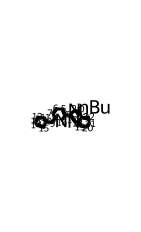 CCCCc1nc(-c2cccc(Cc3ccccc3)n2)nc2ccccc12